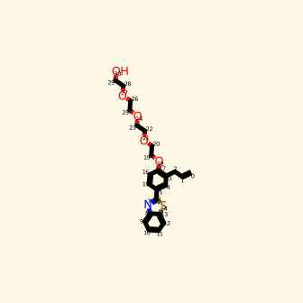 C=CCc1cc(-c2nc3ccccc3s2)ccc1OCCOCCOCCOCCO